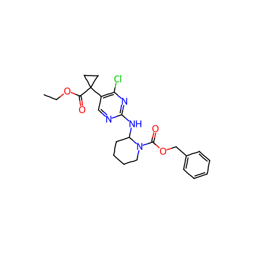 CCOC(=O)C1(c2cnc(NC3CCCCN3C(=O)OCc3ccccc3)nc2Cl)CC1